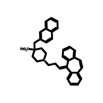 CCOC(=O)C1(Cc2ccc3ccccc3c2)CCN(CCC=C2c3ccccc3C=Cc3ccccc32)CC1